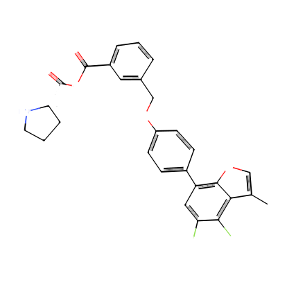 Cc1coc2c(-c3ccc(OCc4cccc(C(=O)OC(=O)[C@@H]5CCCN5)c4)cc3)cc(F)c(F)c12